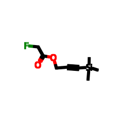 C[Si](C)(C)C#CCOC(=O)CF